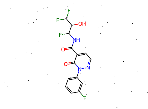 O=C(NC(F)C(O)C(F)F)c1ccnn(-c2cccc(F)c2)c1=O